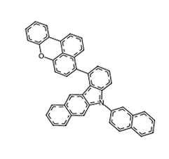 c1ccc2c(c1)Oc1ccc(-c3cccc4c3c3cc5ccccc5cc3n4-c3ccc4ccccc4c3)c3cccc-2c13